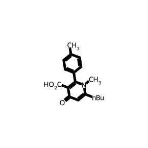 CCCCc1cc(=O)c(C(=O)O)c(-c2ccc(C)cc2)n1C